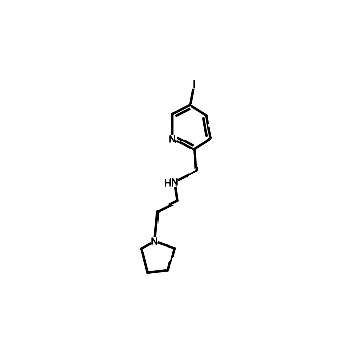 Ic1ccc(CNCCN2CCCC2)nc1